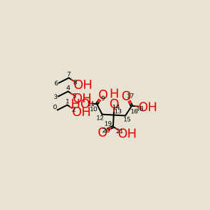 CCO.CCO.CCO.O=C(O)CC(O)(CC(=O)O)C(=O)O